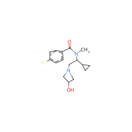 CN(C(=O)c1ccc(F)cc1)C(CN1CC(O)C1)C1CC1